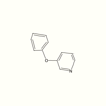 [c]1cncc(Oc2ccccc2)c1